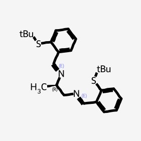 C[C@H](C/N=C/c1ccccc1SC(C)(C)C)/N=C/c1ccccc1SC(C)(C)C